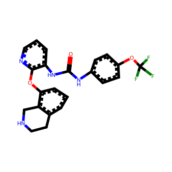 O=C(Nc1ccc(OC(F)(F)F)cc1)Nc1cccnc1Oc1cccc2c1CNCC2